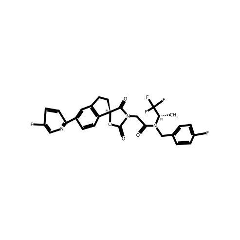 C[C@H](N(Cc1ccc(F)cc1)C(=O)CN1C(=O)O[C@@]2(CCc3cc(-c4ccc(F)cn4)ccc32)C1=O)C(F)(F)F